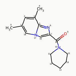 Cc1cc(C)c2nc(C(=O)N3CCCCC3)cn2c1